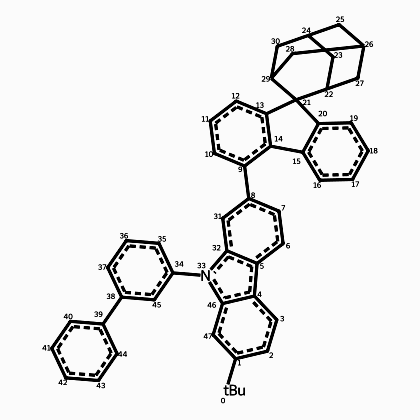 CC(C)(C)c1ccc2c3ccc(-c4cccc5c4-c4ccccc4C54C5CC6CC(C5)CC4C6)cc3n(-c3cccc(-c4ccccc4)c3)c2c1